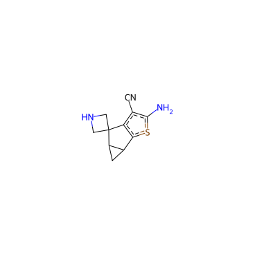 N#Cc1c(N)sc2c1C1(CNC1)C1CC21